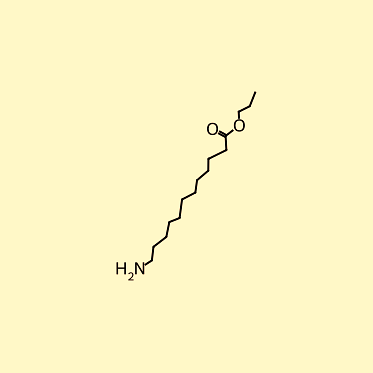 CCCOC(=O)CCCCCCCCCCCN